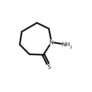 NN1CCCCCC1=S